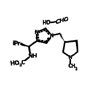 CC(C)[C@H](NC(=O)O)c1cn(C[C@@H]2CCN(C)C2)cn1.O=CO